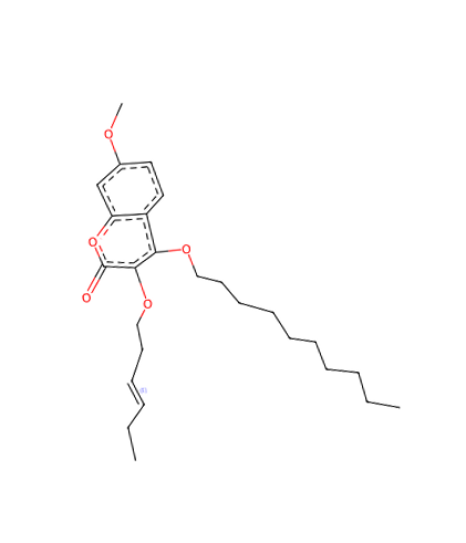 CC/C=C/CCOc1c(OCCCCCCCCCC)c2ccc(OC)cc2oc1=O